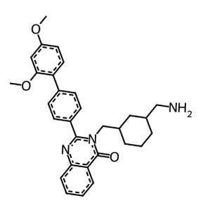 COc1ccc(-c2ccc(-c3nc4ccccc4c(=O)n3CC3CCCC(CN)C3)cc2)c(OC)c1